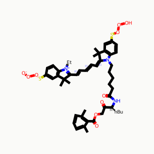 CCCC[C@H](NC(=O)CCCCCN1/C(=C/C=C/C=C/C2=[N+](CC)c3ccc(SOO[O-])cc3C2(C)C)C(C)(C)c2cc(SOOO)ccc21)C(=O)COC(=O)c1c(C)cccc1C